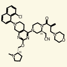 C=C(CN1CCOCC1)C(=O)N1CCN(c2nc(OC[C@@H]3CCCN3C)nc3c2CCN(c2cccc4cccc(Cl)c24)C3)C[C@@H]1CC#N